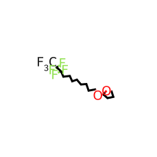 FC(F)(F)C(F)(F)C(F)(F)CCCCCCCCOC1CCCO1